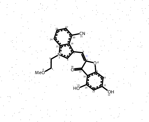 COCCn1cc(/C=C2/Oc3cc(O)cc(O)c3C2=O)c2c(C#N)cccc21